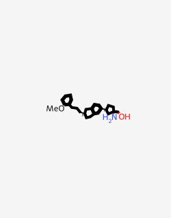 COc1ccccc1CCC[C@@H]1CCc2cc([C@H]3CC[C@](N)(CO)C3)ccc2C1